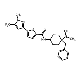 CN(C)C1(Cc2ccccc2)CCC(NC(=O)c2ccc(-c3cc(C(F)(F)F)n(C)n3)s2)CC1